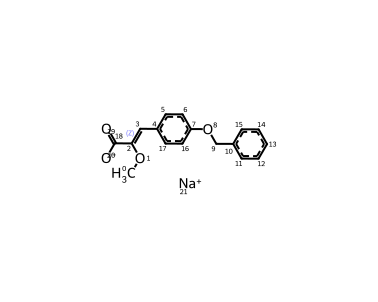 CO/C(=C\c1ccc(OCc2ccccc2)cc1)C(=O)[O-].[Na+]